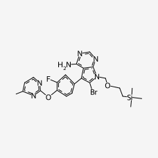 Cc1ccnc(Oc2ccc(-c3c(Br)n(COCC[Si](C)(C)C)c4ncnc(N)c34)cc2F)n1